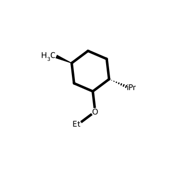 CCOC1C[C@@H](C)CC[C@@H]1C(C)C